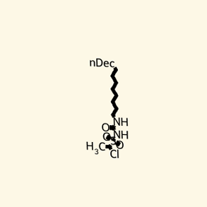 CCCCCCCCCCCCCCCCCCNC(=O)NS(=O)(=O)C(C)Cl